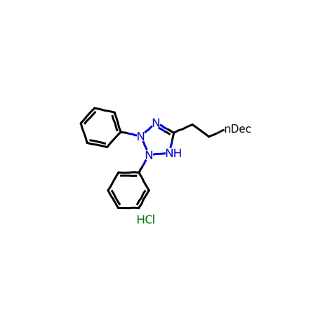 CCCCCCCCCCCCC1=NN(c2ccccc2)N(c2ccccc2)N1.Cl